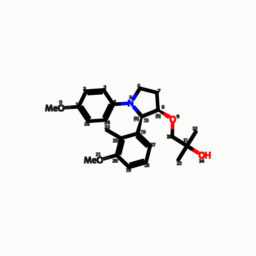 COc1ccc(N2CC[C@@H](OCC(C)(C)O)[C@H]2c2cccc(OC)c2C)cc1